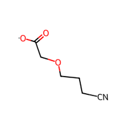 N#CCCCOCC([O])=O